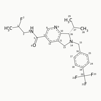 CC(F)CNC(=O)c1cnc2c(c1)CN(Cc1ccc(C(F)(F)F)cc1)[C@H]2C(C)C